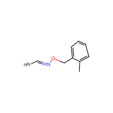 CCCC=NOCc1ccccc1C